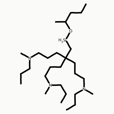 CCCC(C)O[SiH2]CC(CCCN(C)CCC)(CCCN(C)CCC)CCCN(C)CCC